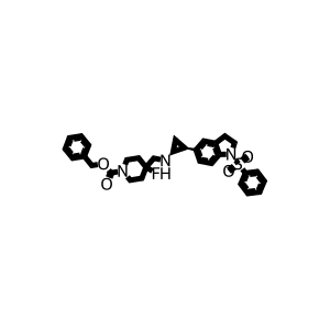 O=C(OCc1ccccc1)N1CCC(F)(CN[C@@H]2C[C@H]2c2ccc3c(c2)CCN3S(=O)(=O)c2ccccc2)CC1